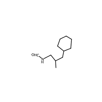 CC(CN[C]=O)CC1CCCCC1